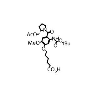 COc1cc(C(=O)N2CCC[C@H]2COC(C)=O)c(NC(=O)OC(C)(C)C)cc1OCCCCCC(=O)O